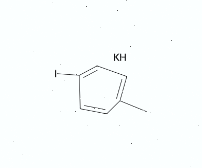 Cc1ccc(I)cc1.[KH]